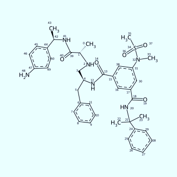 C[C@H](NC[C@H](Cc1ccccc1)NC(=O)c1cc(C(=O)NC(C)(C)c2ccccc2)cc(N(C)S(C)(=O)=O)c1)C(=O)N[C@H](C)c1ccc(N)cc1